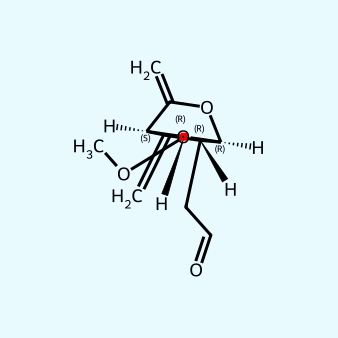 C=C1O[C@@H]2O[C@@H](OC)[C@H]1C(=C)[C@H]2CC=O